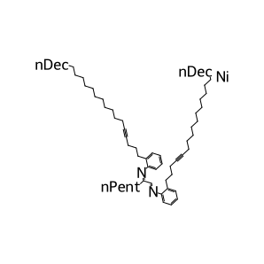 CCCCCCCCCCCCCCCCCCCCCC#CCCCc1ccccc1/N=C(\C=N\c1ccccc1CCCC#CCCCCCCCCCCCCCCCCCCCCC)CCCCC.[Ni]